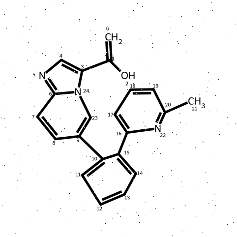 C=C(O)c1cnc2ccc(-c3ccccc3-c3cccc(C)n3)cn12